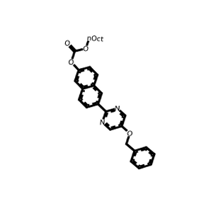 CCCCCCCCOC(=O)Oc1ccc2cc(-c3ncc(OCc4ccccc4)cn3)ccc2c1